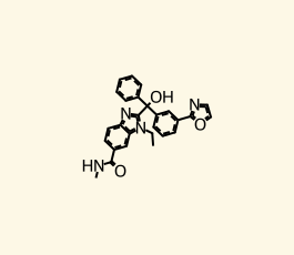 CCn1c(C(O)(c2ccccc2)c2cccc(-c3ncco3)c2)nc2ccc(C(=O)NC)cc21